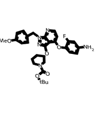 COc1ccc(Cn2nc(O[C@H]3CCCN(C(=O)OC(C)(C)C)C3)c3c(Oc4ccc(N)cc4F)ccnc32)cc1